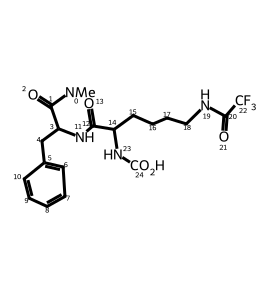 CNC(=O)C(Cc1ccccc1)NC(=O)C(CCCCNC(=O)C(F)(F)F)NC(=O)O